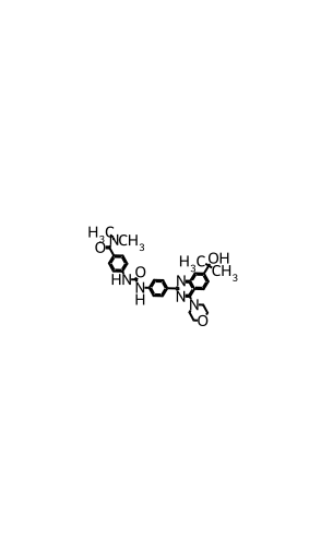 CN(C)C(=O)c1ccc(NC(=O)Nc2ccc(-c3nc(N4CCOCC4)c4ccc(C(C)(C)O)cc4n3)cc2)cc1